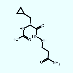 NC(=O)CCNNC(=O)[C@H](CC1CC1)NC(=O)O